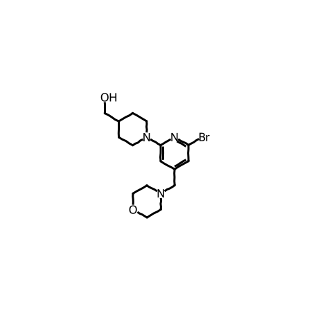 OCC1CCN(c2cc(CN3CCOCC3)cc(Br)n2)CC1